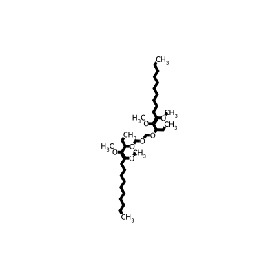 CCCCCCCCCCC(OC)=C(OC)C(CC)OCOCOC(CC)C(OC)=C(CCCCCCCCCC)OC